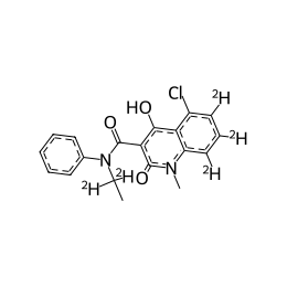 [2H]c1c([2H])c([2H])c2c(c(O)c(C(=O)N(c3ccccc3)C([2H])([2H])C)c(=O)n2C)c1Cl